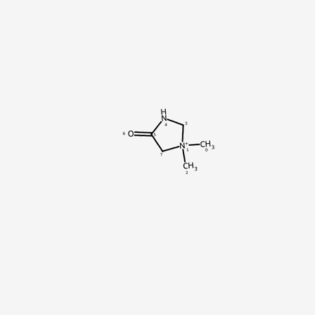 C[N+]1(C)CNC(=O)C1